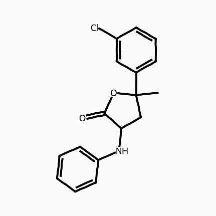 CC1(c2cccc(Cl)c2)CC(Nc2ccccc2)C(=O)O1